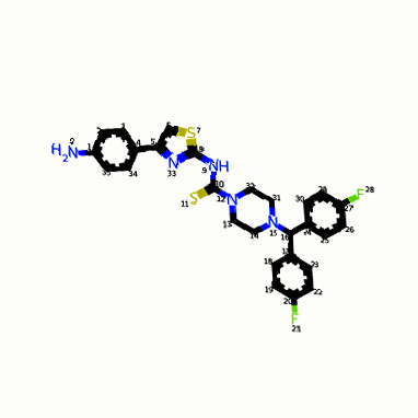 Nc1ccc(-c2csc(NC(=S)N3CCN(C(c4ccc(F)cc4)c4ccc(F)cc4)CC3)n2)cc1